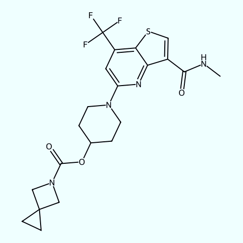 CNC(=O)c1csc2c(C(F)(F)F)cc(N3CCC(OC(=O)N4CC5(CC5)C4)CC3)nc12